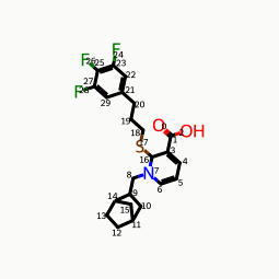 O=C(O)C1=CC=CN(CC2CC3CCC2C3)C1SCCCc1cc(F)c(F)c(F)c1